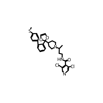 CSc1ccc(-c2ccccc2C2(C3CCN(C(C)CCNC(=O)c4c(Cl)cncc4Cl)CC3)OC=CO2)cc1